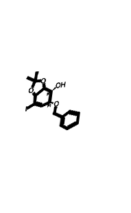 CC1(C)OC2C(I)=C[C@@H](OCc3ccccc3)[C@@H](O)C2O1